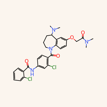 CN(C)C(=O)COc1ccc2c(c1)C(N(C)C)CCCN2C(=O)c1ccc(NC(=O)c2ccccc2Cl)cc1Cl